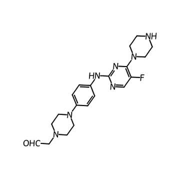 O=CCN1CCN(c2ccc(Nc3ncc(F)c(N4CCNCC4)n3)cc2)CC1